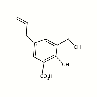 C=CCc1cc(CO)c(O)c(C(=O)O)c1